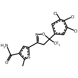 Cc1sc(C2=NOC(c3cc(Cl)c(Cl)c(Cl)c3)(C(F)(F)F)C2)cc1C(N)=O